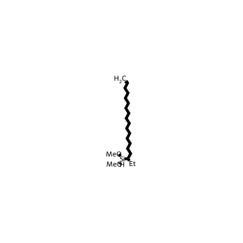 C=CCCCCCCCCCCCCCCC(CC)[SiH](OC)OC